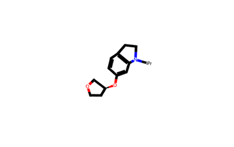 CC(C)N1CCc2ccc(O[C@H]3CCOC3)cc21